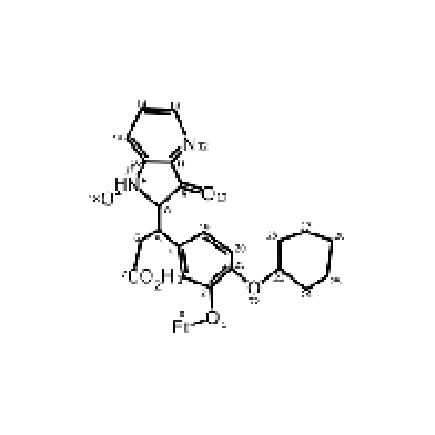 CCOc1cc(C(CC(=O)O)C2C(=O)c3ncccc3[NH+]2[O-])ccc1OC1CCCCC1